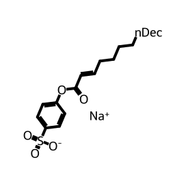 CCCCCCCCCCCCCCC=CC(=O)Oc1ccc(S(=O)(=O)[O-])cc1.[Na+]